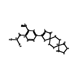 COc1cc(C2=NOC3(CCC4(CC3)OCCO4)C2)ccc1OC(F)F